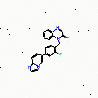 O=c1cnc2ccccc2n1Cc1ccc(-c2ccc3nccn3c2)cc1F